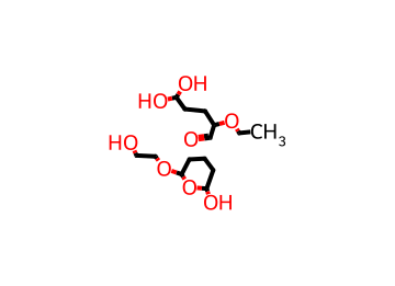 CCOC(C=O)CCC(O)O.OCCOC1CCCC(O)O1